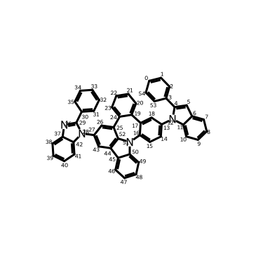 c1ccc(-c2cc3ccccc3n2-c2ccc3c(c2)-c2ccccc2-c2cc(-n4c(-c5ccccc5)nc5ccccc54)cc4c5ccccc5n-3c24)cc1